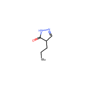 CC(C)(C)CCC1C=NNC1=O